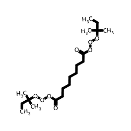 CCC(C)(C)OOOC(=O)CCCCCCCC(=O)OOOC(C)(C)CC